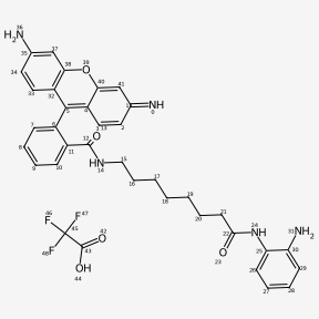 N=c1ccc2c(-c3ccccc3C(=O)NCCCCCCCC(=O)Nc3ccccc3N)c3ccc(N)cc3oc-2c1.O=C(O)C(F)(F)F